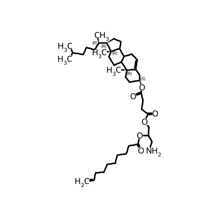 C=CCCCCCCCC(=O)OC(CN)COC(=O)CCC(=O)O[C@H]1CC[C@@]2(C)C(=CCC3C2CC[C@@]2(C)C3CC[C@@H]2[C@H](C)CCCC(C)C)C1